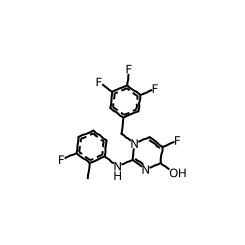 Cc1c(F)cccc1NC1=NC(O)C(F)=CN1Cc1cc(F)c(F)c(F)c1